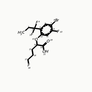 CCC(F)(F)c1cc(Br)c(F)cc1OC(CCCF)C(=O)O